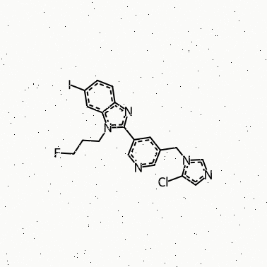 FCCCn1c(-c2cncc(Cn3cncc3Cl)c2)nc2ccc(I)cc21